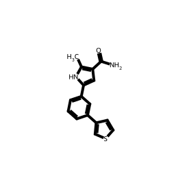 Cc1[nH]c(-c2cccc(-c3ccsc3)c2)cc1C(N)=O